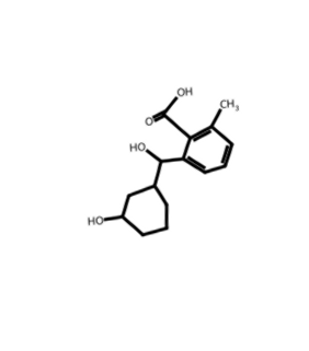 Cc1cccc(C(O)C2CCCC(O)C2)c1C(=O)O